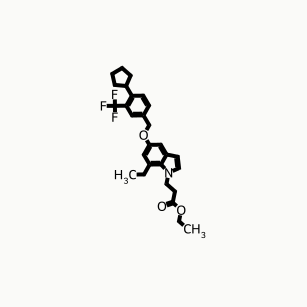 CCOC(=O)CCn1ccc2cc(OCc3ccc(C4CCCC4)c(C(F)(F)F)c3)cc(CC)c21